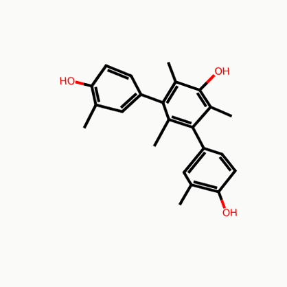 Cc1cc(-c2c(C)c(O)c(C)c(-c3ccc(O)c(C)c3)c2C)ccc1O